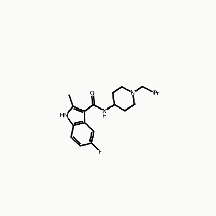 Cc1[nH]c2ccc(F)cc2c1C(=O)NC1CCN(CC(C)C)CC1